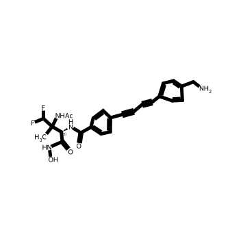 CC(=O)NC(C)(C(F)F)[C@H](NC(=O)c1ccc(C#CC#Cc2ccc(CN)cc2)cc1)C(=O)NO